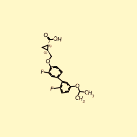 CC(C)Oc1ccc(F)c(-c2ccc(OC[C@H]3C[C@@H]3C(=O)O)c(F)c2)c1